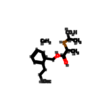 CCCCCCCCCCCCc1ccccc1COC(=O)C(C)SC(C)C(=O)O.[CaH2]